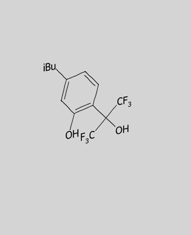 CCC(C)c1ccc(C(O)(C(F)(F)F)C(F)(F)F)c(O)c1